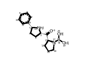 O=C([C@@H]1CC[C@H](c2ccccc2)N1)[C@H]1CCCN1B(O)O